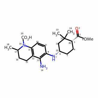 COC(=O)[C@@H]1CC[C@H](Nc2ccc3c(c2N)CCC(C)N3C(=O)O)CC1(C)C